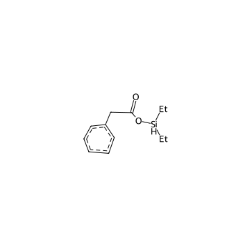 CC[SiH](CC)OC(=O)Cc1ccccc1